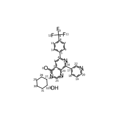 O=c1c2cc(-c3ccc(C(F)(F)F)cc3)nc(-c3cccnc3)c2ncn1[C@H]1CCCC[C@H]1O